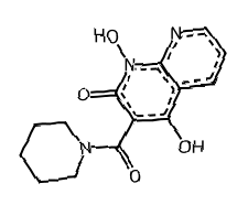 O=C(c1c(O)c2cccnc2n(O)c1=O)N1CCCCC1